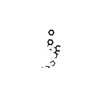 CNCC(=O)N1CCC(NC(=O)c2sc3nccc4c3c2NC(=O)N4c2ccc(Oc3ccccc3)cc2C)C1